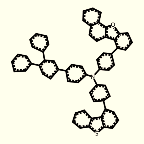 c1ccc(-c2ccc(-c3ccc(N(c4ccc(-c5cccc6oc7c8ccccc8ccc7c56)cc4)c4ccc(-c5cccc6sc7ccccc7c56)cc4)cc3)cc2-c2ccccc2)cc1